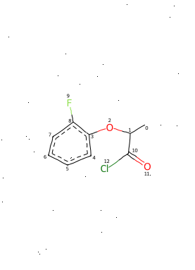 CC(Oc1ccccc1F)C(=O)Cl